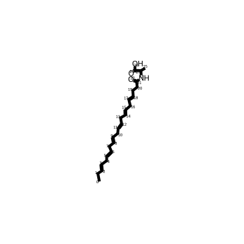 CCC=CCC=CCC=CCC=CCC=CCC=CCCC(=O)NC(C)C(=O)O